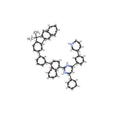 CC1(C)c2ccc(-c3cccc(-c4ccc(-c5nc(-c6ccccc6)cc(-c6cccc(-c7cccnc7)c6)n5)c5ccccc45)c3)cc2-c2cc3ccccc3cc21